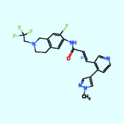 Cn1cc(-c2ccncc2/C=C/C(=O)Nc2cc3c(cc2F)CN(CC(F)(F)F)CC3)cn1